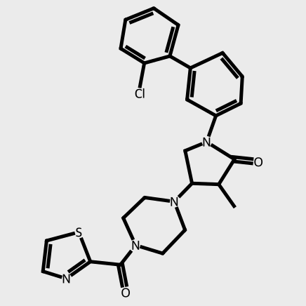 CC1C(=O)N(c2cccc(-c3ccccc3Cl)c2)CC1N1CCN(C(=O)c2nccs2)CC1